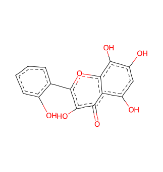 O=c1c(O)c(-c2ccccc2O)oc2c(O)c(O)cc(O)c12